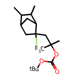 CC1C2CC(C1C)C(F)(CC(C)(OC(=O)OC(C)(C)C)C(F)(F)F)C2